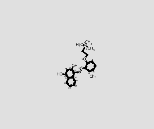 C[N+](C)(C)CCOc1ccccc1N=Nc1c(O)cc(O)c2ccccc12.[Cl-]